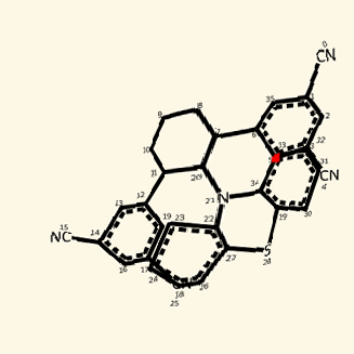 N#Cc1cc(C#N)cc(C2CCCC(c3cc(C#N)cc(C#N)c3)C2N2c3ccccc3Sc3ccccc32)c1